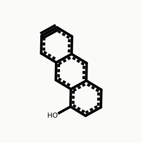 Oc1cccc2cc3cc#ccc3cc12